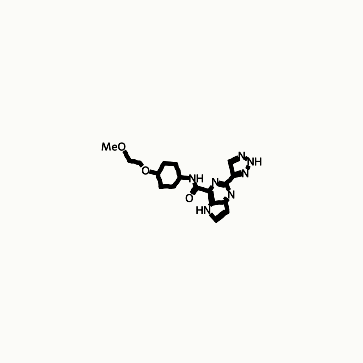 COCCOC1CCC(NC(=O)c2nc(-c3cn[nH]n3)nc3cc[nH]c23)CC1